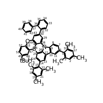 Cc1cc(C)c(-c2ccc3c(c2)c2cc(-c4c(C)cc(C)cc4C)cc4c2n3-c2cc(-c3ccccc3-c3ccccc3)cc3c2B4c2cc(C(C)(C)C)ccc2O3)c(C)c1